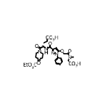 CCOC(=O)ON1CCN(C(=O)[C@H](CCC(=O)O)NC(=O)c2cc(OCC(=O)N(C)CC(=O)O)n(-c3ccccc3)n2)CC1